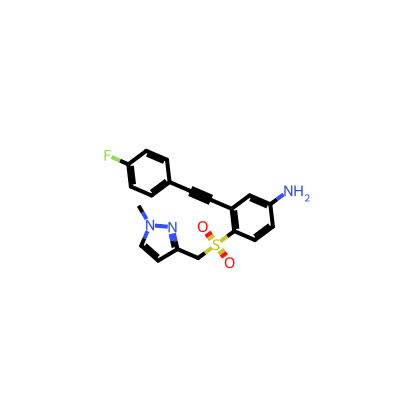 Cn1ccc(CS(=O)(=O)c2ccc(N)cc2C#Cc2ccc(F)cc2)n1